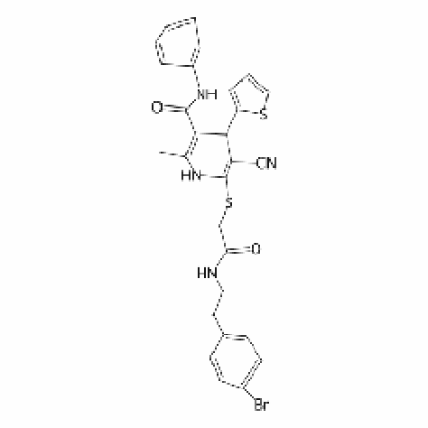 CC1=C(C(=O)Nc2ccccc2)C(c2cccs2)C(C#N)=C(SCC(=O)NCCc2ccc(Br)cc2)N1